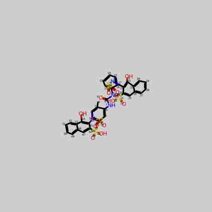 Cc1c2ccc(c1NC(=O)Nc1c3ccc(c1C)N(c1c(S(=O)(=O)O)cc4ccccc4c1O)S3(=O)=O)S(=O)(=O)N2c1c(S(=O)(=O)O)cc2ccccc2c1O